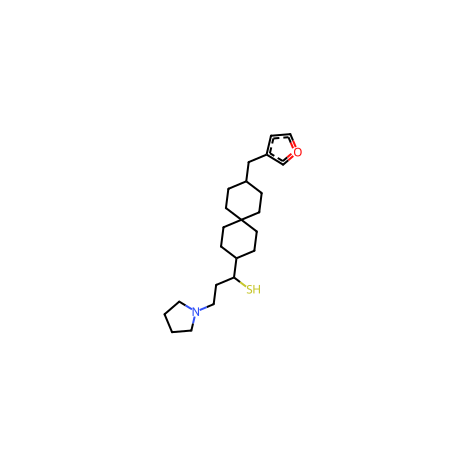 SC(CCN1CCCC1)C1CCC2(CCC(Cc3ccoc3)CC2)CC1